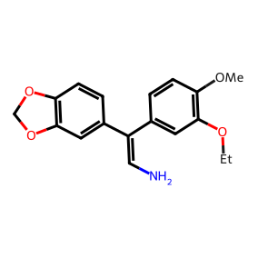 CCOc1cc(C(=CN)c2ccc3c(c2)OCO3)ccc1OC